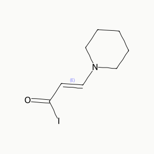 O=C(I)/C=C/N1CCCCC1